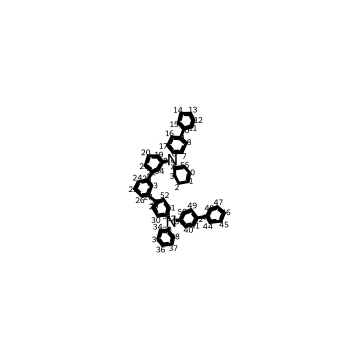 C1=CCCC(N(c2ccc(-c3ccccc3)cc2)c2cccc(-c3cccc(-c4ccc(N(c5ccccc5)c5ccc(-c6ccccc6)cc5)cc4)c3)c2)=C1